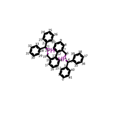 c1ccc(C(PCc2ccccc2-c2ccccc2CPC(c2ccccc2)c2ccccc2)c2ccccc2)cc1